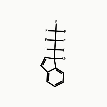 [O]C1(C(F)(F)C(F)(F)C(F)(F)F)C=Cc2ccccc21